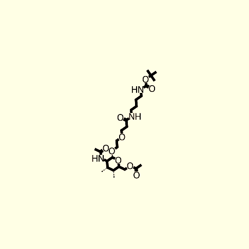 CC(=O)NC1[C@H](OCCOCCC(=O)NCCCCNC(=O)OC(C)(C)C)OC(COC(C)=O)[C@H](C)[C@@H]1C